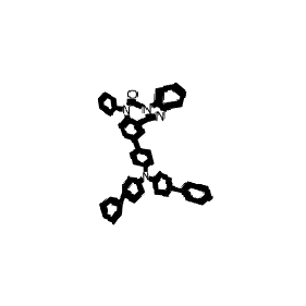 O=c1n(-c2ccccc2)c2ccc(-c3ccc(N(c4ccc(-c5ccccc5)cc4)c4ccc(-c5ccccc5)cc4)cc3)cc2c2nc3ccccc3n12